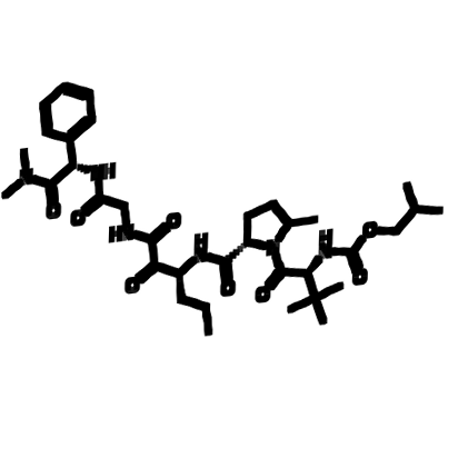 CCC[C@H](NC(=O)[C@@H]1CCC(C)N1C(=O)[C@@H](NC(=O)OCC(C)C)C(C)(C)C)C(=O)C(=O)NCC(=O)N[C@H](C(=O)N(C)C)c1ccccc1